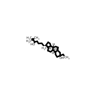 CC[C@]1(O)CC[C@H]2C(=CC[C@@H]3[C@@H]2CC[C@]2(C)[C@@H](CCCCC(O)C(C)(C)C)CC[C@@H]32)C1